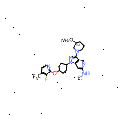 CCNc1cc2c(cn1)c(N1CCC[C@H](OC)C1)nn2C1CCC(Oc2nccc(C(F)(F)F)c2F)CC1